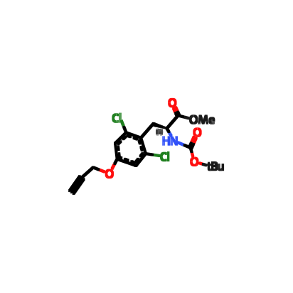 C#CCOc1cc(Cl)c(C[C@H](NC(=O)OC(C)(C)C)C(=O)OC)c(Cl)c1